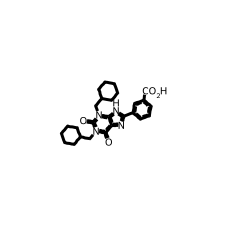 O=C(O)c1cccc(-c2nc3c(=O)n(CC4CCCCC4)c(=O)n(CC4CCCCC4)c3[nH]2)c1